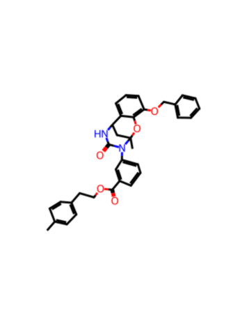 Cc1ccc(CCOC(=O)c2cccc(N3C(=O)NC4CC3(C)Oc3c(OCc5ccccc5)cccc34)c2)cc1